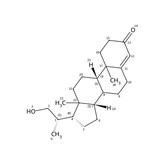 C[C@H](CO)[C@H]1CC[C@H]2C3CCC4=CC(=O)CCC4(C)[C@H]3CCC12C